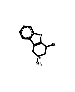 CCC1C[C@@H](N)CC2=C1[N]c1ccccc12